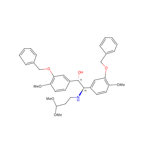 COc1ccc([C@@H](NCCC(OC)OC)[C@@H](O)c2ccc(OC)c(OCc3ccccc3)c2)cc1OCc1ccccc1